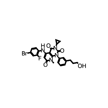 Cn1c(=O)cc(Nc2ccc(Br)cc2F)c2c(=O)n(C3CC3)c(=O)n(-c3cccc(CCCO)c3)c21